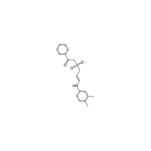 Cc1ccc(NC=CCS(=O)(=O)CC(=O)c2ccccc2)cc1C